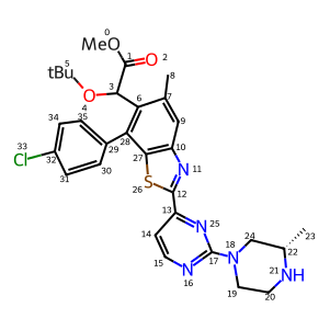 COC(=O)C(OC(C)(C)C)c1c(C)cc2nc(-c3ccnc(N4CCN[C@@H](C)C4)n3)sc2c1-c1ccc(Cl)cc1